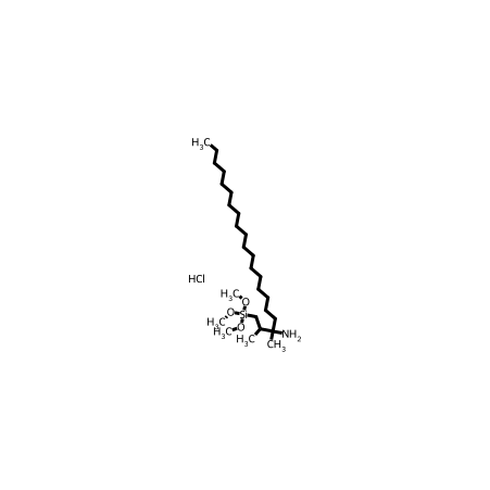 CCCCCCCCCCCCCCCCCCC(C)(N)C(C)C[Si](OC)(OC)OC.Cl